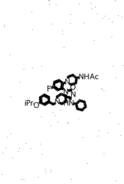 CC(=O)NC1CCN(c2ccc(F)cc2N2C(=O)N=C(NC3CCCCC3)C23CCN(Cc2cccc(OC(C)C)c2)CC3)CC1